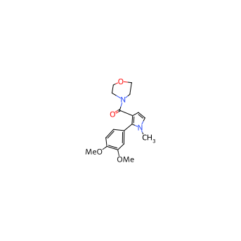 COc1ccc(-c2c(C(=O)N3CCOCC3)ccn2C)cc1OC